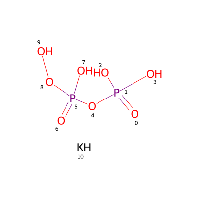 O=P(O)(O)OP(=O)(O)OO.[KH]